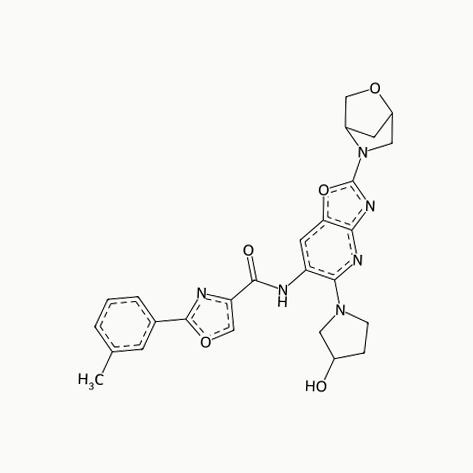 Cc1cccc(-c2nc(C(=O)Nc3cc4oc(N5CC6CC5CO6)nc4nc3N3CCC(O)C3)co2)c1